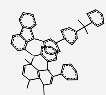 CC1C=CC2(C)C3=C1C(C)C=C(c1ccccc1)C3(C)c1ccccc1N2c1cccc2c3ccccc3n(-c3cccc(-c4ccc(C(C)(C)c5ccccc5)cc4)c3)c12